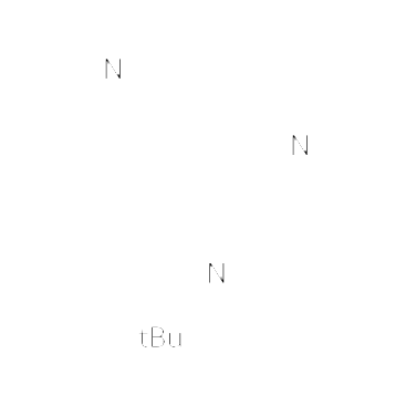 CC(C)(C)N1C=C=Nc2cnccc21